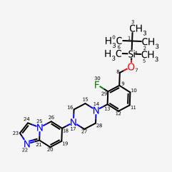 CC(C)(C)[Si](C)(C)OCc1cccc(N2CCN(c3ccc4nccn4c3)CC2)c1F